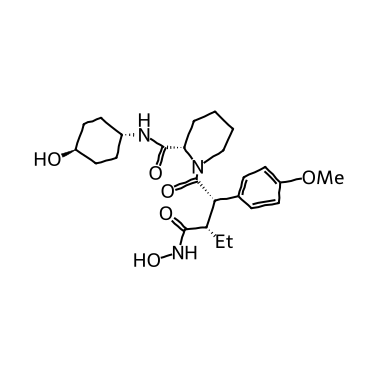 CC[C@H](C(=O)NO)[C@H](C(=O)N1CCCC[C@H]1C(=O)N[C@H]1CC[C@H](O)CC1)c1ccc(OC)cc1